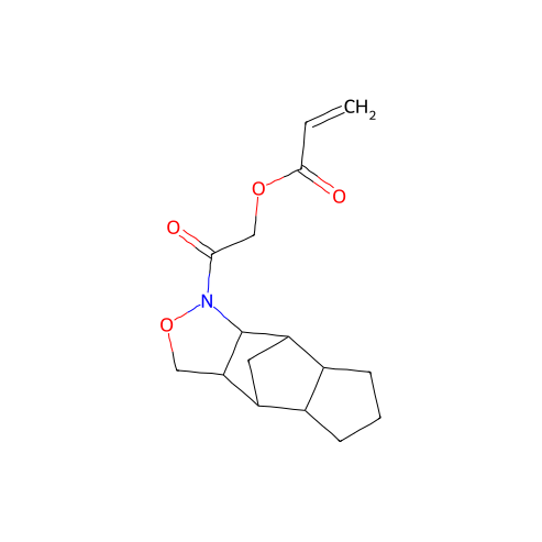 C=CC(=O)OCC(=O)N1OCC2C3CC(C4CCCC34)C21